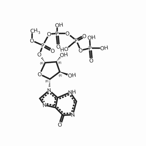 COP(=O)(O[C@H]1O[C@@H](n2cnc3c(=O)nc[nH]c32)[C@H](O)[C@H]1O)OP(=O)(O)OP(=O)(O)OP(=O)(O)O